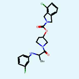 CC(C)(C)C(Nc1cccc(F)c1)C(=O)N1CCC(OC(=O)N2Cc3cccc(Cl)c3C2)C1